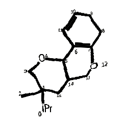 CC(C)C1(C)COC2C3=C(CCC=C3)OCC2C1